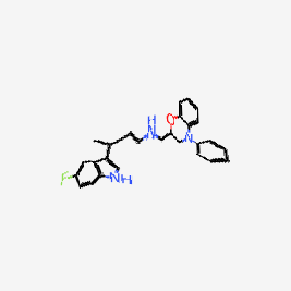 CC(CCNCC1CN(c2ccccc2)c2ccccc2O1)c1c[nH]c2ccc(F)cc12